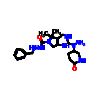 CC1(C)C2=C(CN1C(=O)NNCc1ccccc1)NC(N(N)C1CCC(=O)NC1)NC2